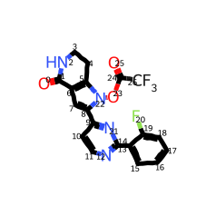 O=C1NCCc2c1cc(-c1ccnc(-c3ccccc3F)n1)n2OC(=O)C(F)(F)F